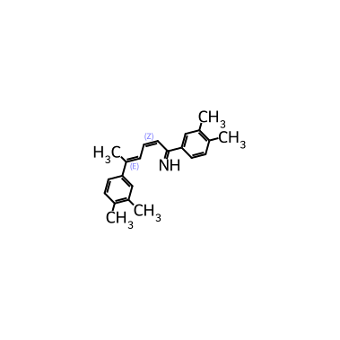 C/C(=C\C=C/C(=N)c1ccc(C)c(C)c1)c1ccc(C)c(C)c1